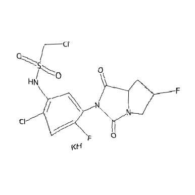 O=C1C2CC(F)CN2C(=O)N1c1cc(NS(=O)(=O)CCl)c(Cl)cc1F.[KH]